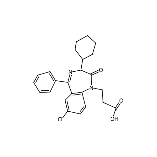 O=C(O)CCN1C(=O)C(C2CCCCC2)N=C(c2ccccc2)c2cc(Cl)ccc21